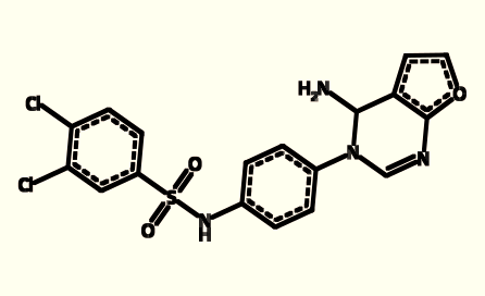 NC1c2ccoc2N=CN1c1ccc(NS(=O)(=O)c2ccc(Cl)c(Cl)c2)cc1